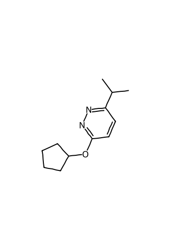 CC(C)c1ccc(OC2CCCC2)nn1